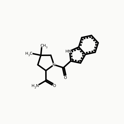 CC1(C)CC(C(N)=O)N(C(=O)c2cc3ccccc3[nH]2)C1